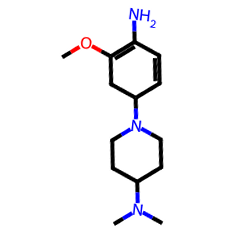 COC1=C(N)C=CC(N2CCC(N(C)C)CC2)C1